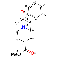 COC(=O)C1CC2CC(=O)CC(C1)N2Cc1ccccc1